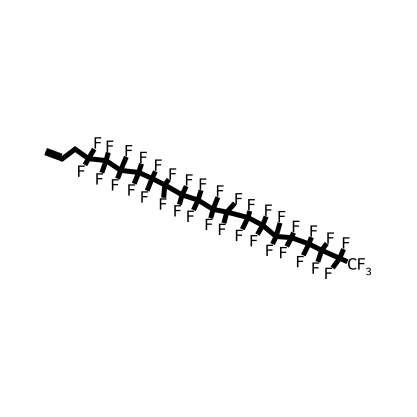 C=CCC(F)(F)C(F)(F)C(F)(F)C(F)(F)C(F)(F)C(F)(F)C(F)(F)C(F)(F)C(F)(F)C(F)(F)C(F)(F)C(F)(F)C(F)(F)C(F)(F)C(F)(F)C(F)(F)C(F)(F)C(F)(F)F